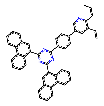 C=Cc1cc(-c2ccc(-c3nc(-c4cc5ccccc5c5ccccc45)nc(-c4cc5ccccc5c5ccccc45)n3)cc2)cnc1/C=C\C